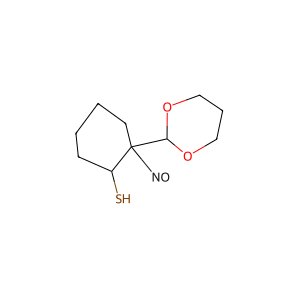 O=NC1(C2OCCCO2)CCCCC1S